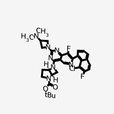 CN(C)C1CN(c2nc(N3C[C@@H]4[C@H]3CCN4C(=O)OC(C)(C)C)c3cnc(-c4cccc5ccc(F)c(Cl)c45)c(F)c3n2)C1